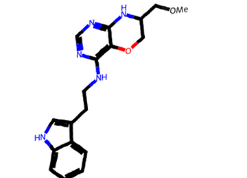 COCC1COc2c(NCCc3c[nH]c4ccccc34)ncnc2N1